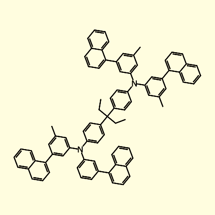 CCC(CC)(c1ccc(N(c2cccc(-c3cccc4ccccc34)c2)c2cc(C)cc(-c3cccc4ccccc34)c2)cc1)c1ccc(N(c2cc(C)cc(-c3cccc4ccccc34)c2)c2cc(C)cc(-c3cccc4ccccc34)c2)cc1